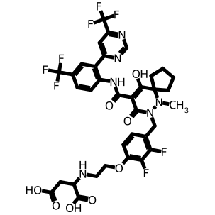 CN1N(Cc2ccc(OCCNC(CC(=O)O)C(=O)O)c(F)c2F)C(=O)C(C(=O)Nc2ccc(C(F)(F)F)cc2-c2cc(C(F)(F)F)ncn2)=C(O)C12CCCC2